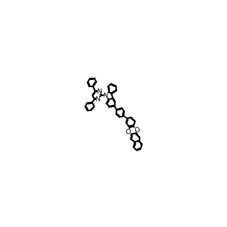 c1ccc(-c2cc(-c3ccccc3)nc(-n3c4ccccc4c4cc(-c5ccc(-c6ccc7c(c6)Oc6cc8ccccc8cc6O7)cc5)ccc43)n2)cc1